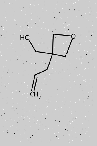 C=CCC1(CO)COC1